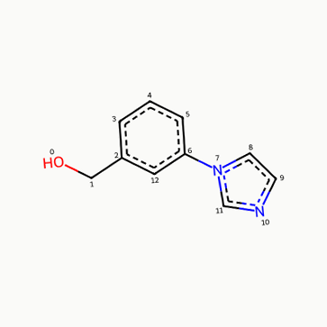 OCc1cccc(-n2ccnc2)c1